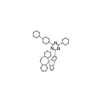 C1=Cc2ccccc2C2(c3ccccc31)c1ccccc1-c1ccc(-c3nc(-c4ccccc4)nc(-c4ccc(-c5ccccc5)cc4)n3)cc12